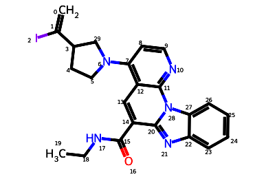 C=C(I)C1CCN(c2ccnc3c2cc(C(=O)NCC)c2nc4ccccc4n23)C1